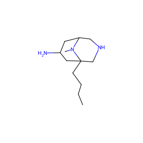 CCCCC12CNCC(CC(N)C1)N2C